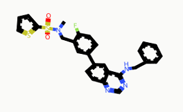 CN(Cc1cc(-c2ccc3ncnc(NCc4ccccc4)c3c2)ccc1F)S(=O)(=O)c1cccs1